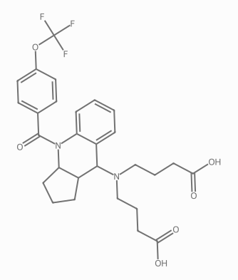 O=C(O)CCCN(CCCC(=O)O)C1c2ccccc2N(C(=O)c2ccc(OC(F)(F)F)cc2)C2CCCC12